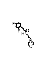 O=C(C=Cc1ccc(F)cc1F)NCCCN1CCOCC1